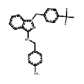 Cc1ccc(CNc2nn(Cc3ccc(C(F)(F)F)cc3)c3ccccc23)cc1